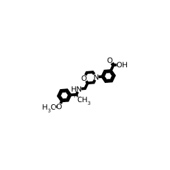 COc1cccc([C@@H](C)NCC2CN(c3cccc(C(=O)O)c3)CCO2)c1